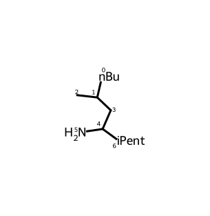 CCCCC(C)CC(N)C(C)CCC